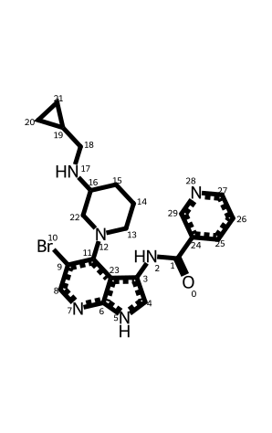 O=C(Nc1c[nH]c2ncc(Br)c(N3CCCC(NCC4CC4)C3)c12)c1cccnc1